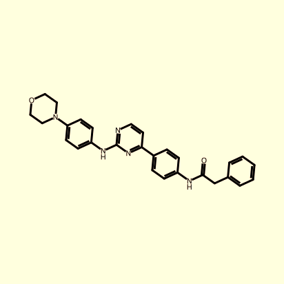 O=C(Cc1ccccc1)Nc1ccc(-c2ccnc(Nc3ccc(N4CCOCC4)cc3)n2)cc1